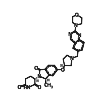 C[C@@H]1c2cc(O[C@H]3CCN(Cc4ccc5nc(N6CCOCC6)ncc5c4)C3)ccc2C(=O)N1[C@H]1CCC(=O)NC1=O